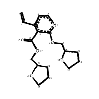 C=Cc1ccnc(OCC2CCCO2)c1C(=O)OCC1CCCO1